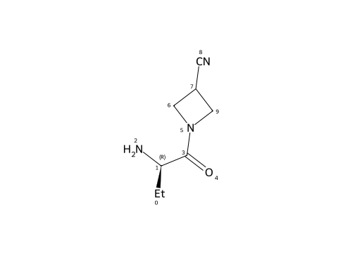 CC[C@@H](N)C(=O)N1CC(C#N)C1